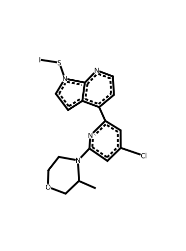 CC1COCCN1c1cc(Cl)cc(-c2ccnc3c2ccn3SI)n1